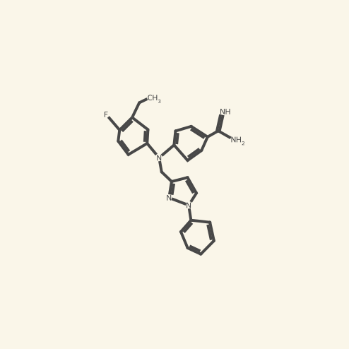 CCc1cc(N(Cc2ccn(-c3ccccc3)n2)c2ccc(C(=N)N)cc2)ccc1F